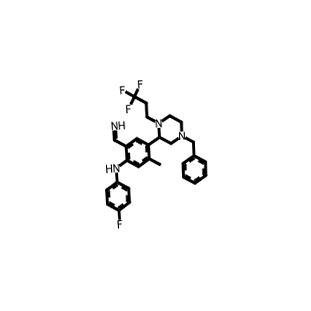 Cc1cc(Nc2ccc(F)cc2)c(C=N)cc1C1CN(Cc2ccccc2)CCN1CCC(F)(F)F